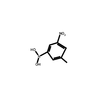 Cc1cc(N(O)O)cc([N+](=O)[O-])c1